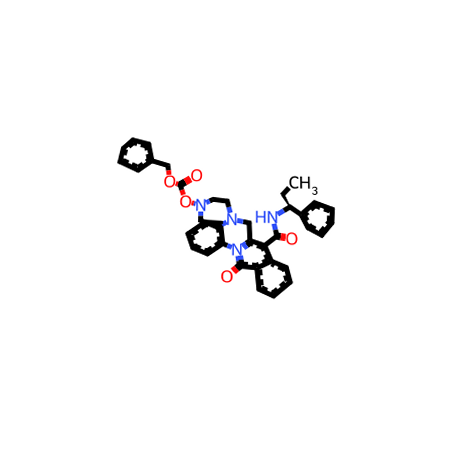 CC[C@H](NC(=O)c1c(CN2CCN(OC(=O)OCc3ccccc3)CC2)n(-c2ccccc2)c(=O)c2ccccc12)c1ccccc1